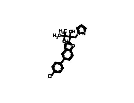 CC(C)(C)C(O)(Cn1cccn1)c1cc2cc(-c3ccc(Cl)cc3)ccc2o1